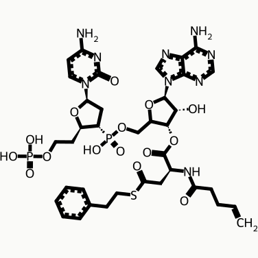 C=CCCC(=O)N[C@@H](CC(=O)SCCc1ccccc1)C(=O)O[C@@H]1C(COP(=O)(O)[C@H]2C[C@H](n3ccc(N)nc3=O)O[C@@H]2CCOP(=O)(O)O)O[C@@H](n2cnc3c(N)ncnc32)[C@@H]1O